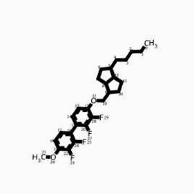 CCCCCC1CCC2C(COc3ccc(-c4ccc(OC)c(F)c4F)c(F)c3F)CCC12